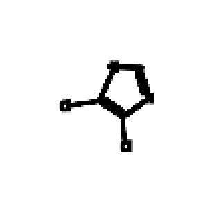 ClC1=C(Cl)N=[C][N]1